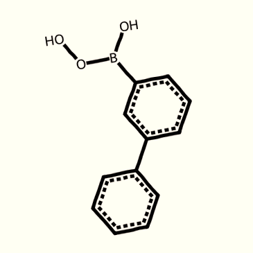 OOB(O)c1cccc(-c2ccccc2)c1